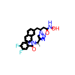 C[C@H](NC(=O)c1ccc(F)c(F)c1)c1cn(C(CC(=O)NO)Cc2ccc3ccccc3c2)nn1